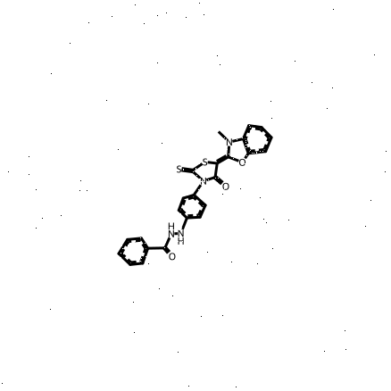 CN1/C(=C2\SC(=S)N(c3ccc(NNC(=O)c4ccccc4)cc3)C2=O)Oc2ccccc21